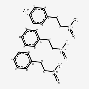 O=[PH]([O-])CCc1ccccc1.O=[PH]([O-])CCc1ccccc1.O=[PH]([O-])CCc1ccccc1.[Al+3]